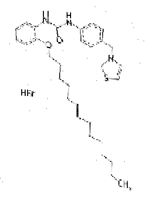 Br.CCCCCCCCCCCCCCOc1ccccc1NC(=O)Nc1ccc(CN2C=CSC2)cc1